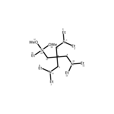 CCN(CC)CC(CN(CC)CC)(CN(CC)CC)C[Si](CC)(OC)OC